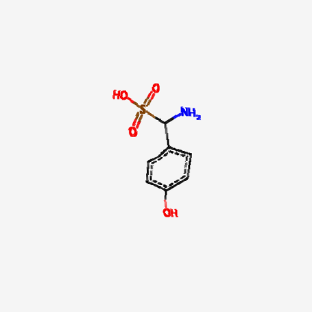 NC(c1ccc(O)cc1)S(=O)(=O)O